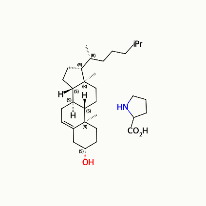 CC(C)CCC[C@@H](C)[C@H]1CC[C@H]2[C@@H]3CC=C4C[C@@H](O)CC[C@]4(C)[C@H]3CC[C@]12C.O=C(O)C1CCCN1